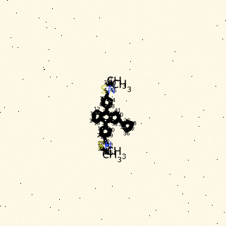 CC1(C)CSC(c2ccc(-c3c4ccccc4c(-c4ccc(C5=NC(C)(C)CS5)cc4)c4cc(-c5ccccc5)ccc34)cc2)=N1